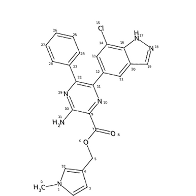 Cn1ccc(COC(=O)c2nc(-c3cc(Cl)c4[nH]ncc4c3)c(-c3ccccc3)nc2N)c1